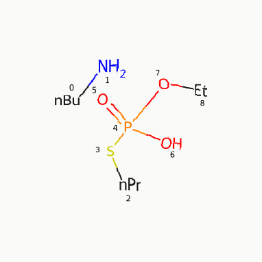 CCCCN.CCCSP(=O)(O)OCC